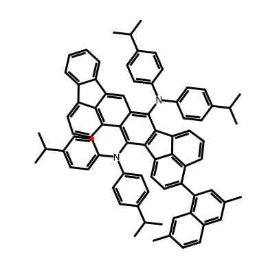 Cc1cc(-c2ccc3c4c(N(c5ccc(C(C)C)cc5)c5ccc(C(C)C)cc5)c5c(cc6c7ccccc7c7cccc5c76)c(N(c5ccc(C(C)C)cc5)c5ccc(C(C)C)cc5)c4c4cccc2c43)c2cc(C)ccc2c1